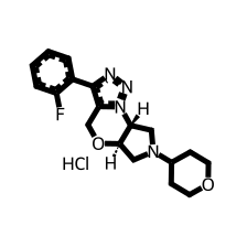 Cl.Fc1ccccc1-c1nnn2c1CO[C@@H]1CN(C3CCOCC3)C[C@H]12